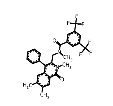 Cc1cc2c(-c3ccccc3)c(CN(C)C(=O)c3cc(C(F)(F)F)cc(C(F)(F)F)c3)n(C)c(=O)c2cc1C